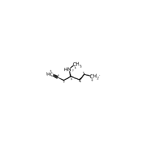 C#CCC(CC[CH2])NC